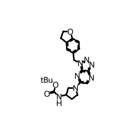 CC(C)(C)OC(=O)NC1CCN(c2cnc3nnn(Cc4ccc5c(c4)CCO5)c3n2)C1